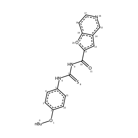 CCCCOc1ccc(NC(=S)NC(=O)c2cc3cnccc3o2)cc1